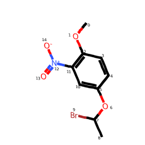 COc1ccc(OC(C)Br)cc1[N+](=O)[O-]